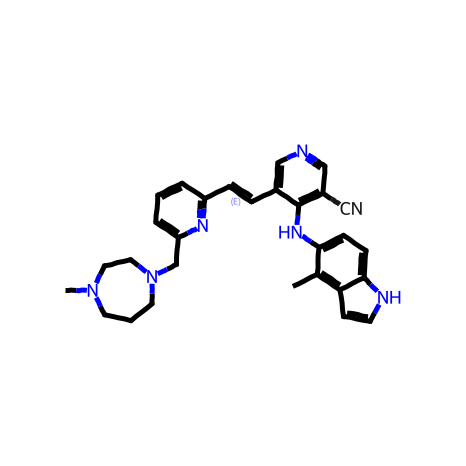 Cc1c(Nc2c(C#N)cncc2/C=C/c2cccc(CN3CCCN(C)CC3)n2)ccc2[nH]ccc12